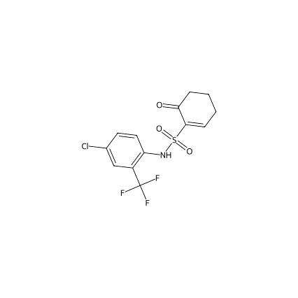 O=C1CCCC=C1S(=O)(=O)Nc1ccc(Cl)cc1C(F)(F)F